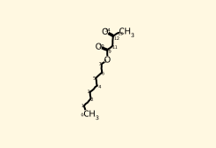 CCCCCCCCOC(=O)[CH]C(C)=O